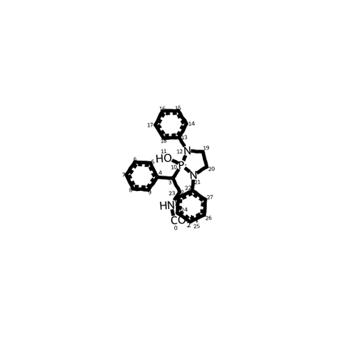 O=C(O)NCC(c1ccccc1)[P]1(O)N(c2ccccc2)CCN1c1ccccc1